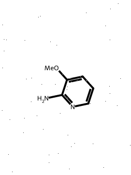 COc1cc[c]nc1N